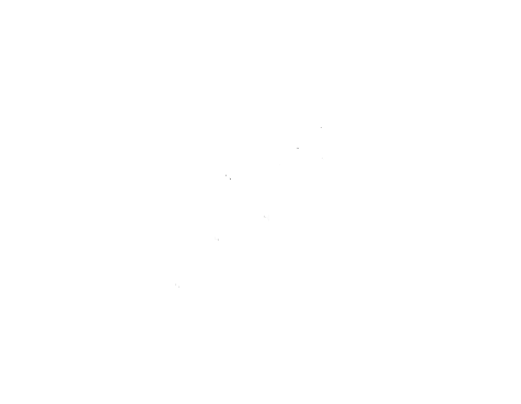 FC1(F)CC1(F)c1cnc(N2CCNCC2)nc1